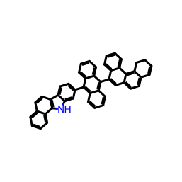 C1=Cc2ccc3cc(-c4c5ccccc5c(-c5ccc6c(c5)[nH]c5c7ccccc7ccc65)c5ccccc45)c4ccccc4c3c2CC1